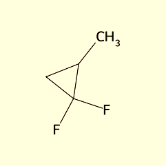 CC1CC1(F)F